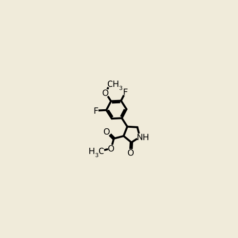 COC(=O)C1C(=O)NCC1c1cc(F)c(OC)c(F)c1